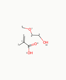 C=C(C)C(=O)O.COCCO